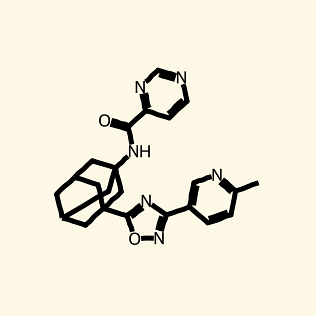 Cc1ccc(-c2noc(C34CC5CC(CC(NC(=O)c6ccncn6)(C5)C3)C4)n2)cn1